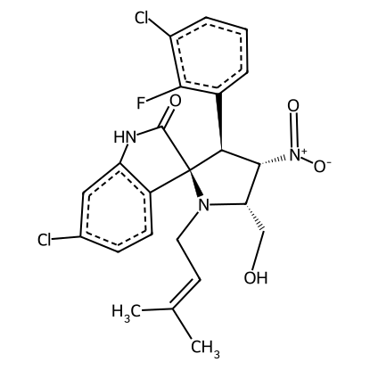 CC(C)=CCN1[C@@H](CO)[C@@H]([N+](=O)[O-])[C@H](c2cccc(Cl)c2F)[C@]12C(=O)Nc1cc(Cl)ccc12